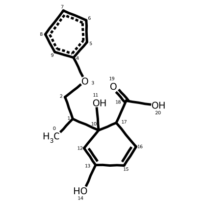 CC(COc1ccccc1)C1(O)C=C(O)C=CC1C(=O)O